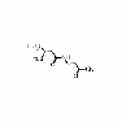 CC(C)(C)C(=O)CCNC(=O)CC(C(=O)O)C(C)(C)C